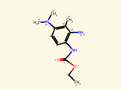 CCOC(=O)Nc1ccc(N(C)C)c(C)c1N